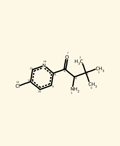 CC(C)(C)C(N)C(=O)c1ccc(Cl)cn1